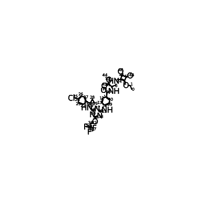 CCOc1c(NCC(NC(=O)c2ccc(Nc3nc(NC4(c5ccc(Cl)cc5)CC4)nc(OCC(F)(F)F)n3)cc2)C(=O)OC)c(=O)c1=O